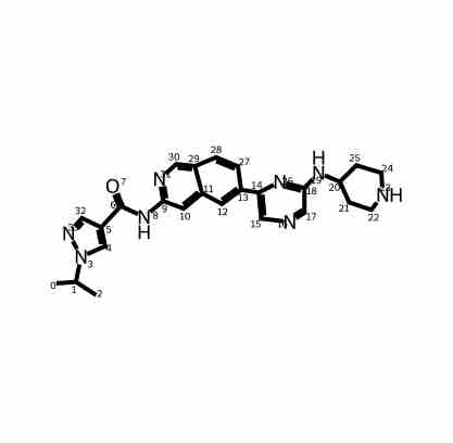 CC(C)n1cc(C(=O)Nc2cc3cc(-c4cncc(NC5CCNCC5)n4)ccc3cn2)cn1